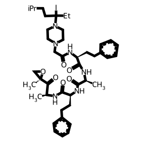 CCC(I)(CCC(C)C)N1CCN(CC(=O)N[C@@H](CCc2ccccc2)C(=O)N[C@@H](C)C(=O)N[C@@H](CCc2ccccc2)C(=O)N[C@@H](C)C(=O)[C@@]2(C)CO2)CC1